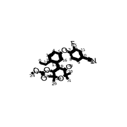 CCc1ccc(Oc2ccc(C#N)cc2F)cc1C1=C(OC(=O)OC)C(C)(C)OC(C)(C)C1=O